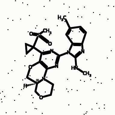 CNc1nc2ccc(C)cc2n1-c1nc2c(c(C3(S(C)(=O)=O)CC3)n1)OC[C@@H]1COCCN21